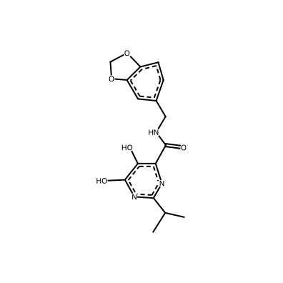 CC(C)c1nc(O)c(O)c(C(=O)NCc2ccc3c(c2)OCO3)n1